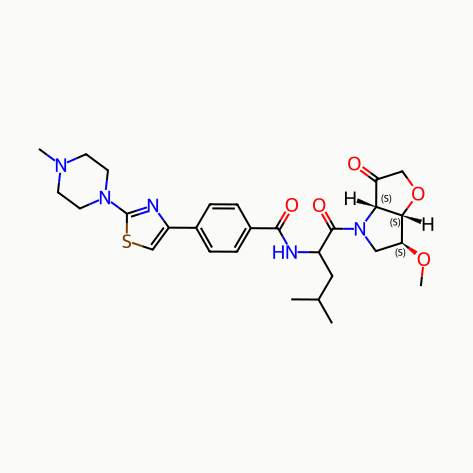 CO[C@H]1CN(C(=O)C(CC(C)C)NC(=O)c2ccc(-c3csc(N4CCN(C)CC4)n3)cc2)[C@@H]2C(=O)CO[C@H]12